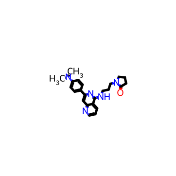 CN(C)c1ccc(-c2cc3ncccc3c(NCCCN3CCCC3=O)n2)cc1